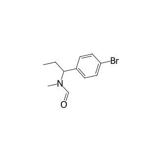 CCC(c1ccc(Br)cc1)N(C)C=O